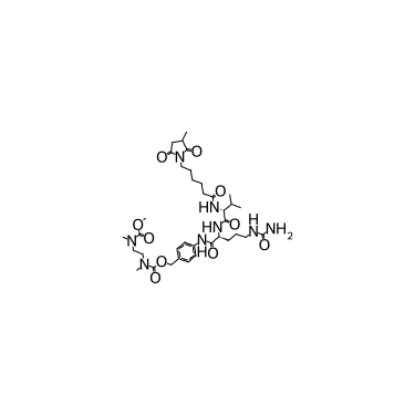 COC(=O)N(C)CCN(C)C(=O)OCc1ccc(NC(=O)[C@H](CCCNC(N)=O)NC(=O)[C@H](NC(=O)CCCCCN2C(=O)CC(C)C2=O)C(C)C)cc1